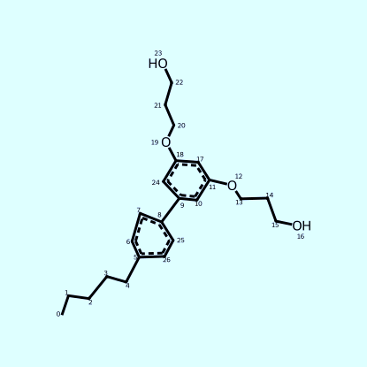 CCCCCc1ccc(-c2cc(OCCCO)cc(OCCCO)c2)cc1